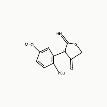 CCCCc1ccc(OC)cc1N1C(=N)SCC1=O